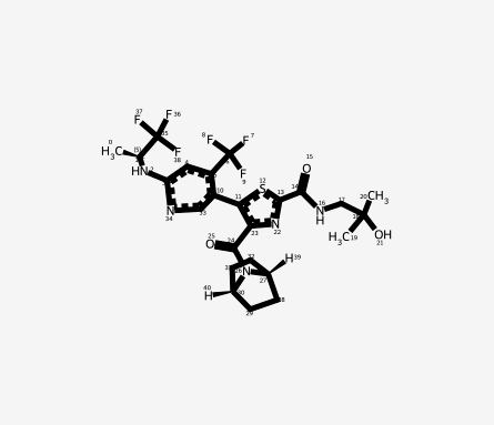 C[C@H](Nc1cc(C(F)(F)F)c(-c2sc(C(=O)NCC(C)(C)O)nc2C(=O)N2[C@H]3CC[C@@H]2CC3)cn1)C(F)(F)F